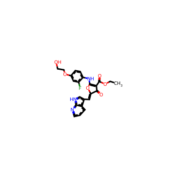 CCOC(=O)C1=C(Nc2ccc(OCCO)cc2F)O/C(=C\c2c[nH]c3ncccc23)C1=O